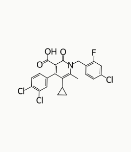 Cc1c(C2CC2)c(-c2ccc(Cl)c(Cl)c2)c(C(=O)O)c(=O)n1Cc1ccc(Cl)cc1F